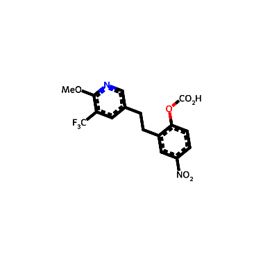 COc1ncc(CCc2cc([N+](=O)[O-])ccc2OC(=O)O)cc1C(F)(F)F